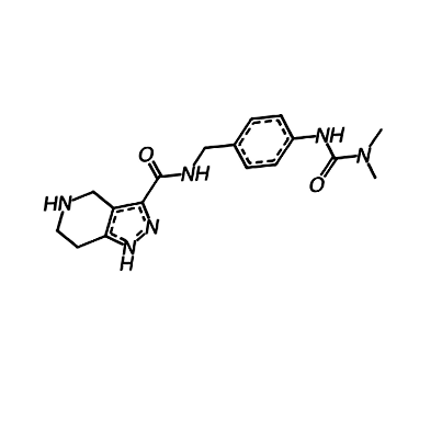 CN(C)C(=O)Nc1ccc(CNC(=O)c2n[nH]c3c2CNCC3)cc1